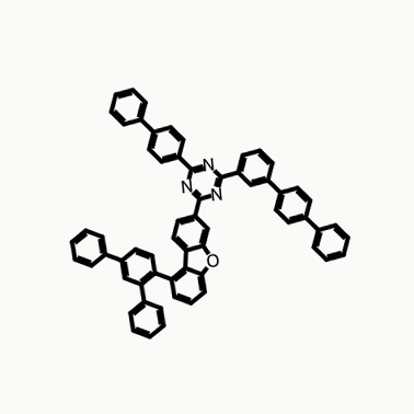 c1ccc(-c2ccc(-c3cccc(-c4nc(-c5ccc(-c6ccccc6)cc5)nc(-c5ccc6c(c5)oc5cccc(-c7ccc(-c8ccccc8)cc7-c7ccccc7)c56)n4)c3)cc2)cc1